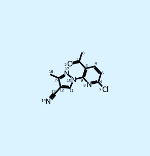 CC(=O)c1ccc(Cl)nc1-n1cc(C#N)c(C)n1